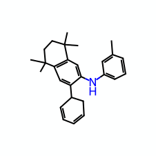 Cc1cccc(Nc2cc3c(cc2C2C=CC=CC2)C(C)(C)CCC3(C)C)c1